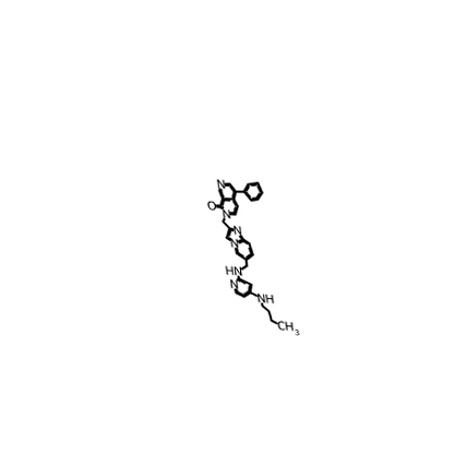 CCCCNc1ccnc(NCc2ccc3nc(Cn4ccc5c(-c6ccccc6)cncc5c4=O)cn3c2)c1